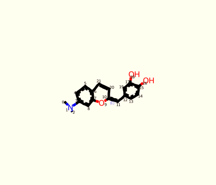 CN(C)c1ccc2c(c1)O/C(=C/c1ccc(O)c(O)c1)C=C2